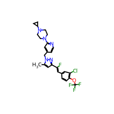 Cc1cc(C(F)=Cc2ccc(OC(F)(F)F)c(Cl)c2)nn1Cc1ccnc(N2CCN(C3CC3)CC2)c1